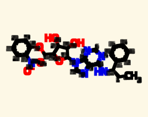 CC[C@@H](Nc1ncnc2c1ncn2C1OC(COc2ccccc2[N+](=O)[O-])C(O)C1O)c1ccccc1